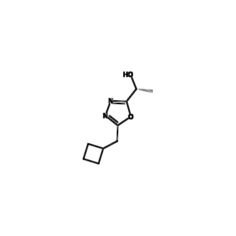 C[C@@H](O)c1nnc(CC2CCC2)o1